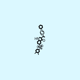 C=C(c1c[nH]c2ccc(S(=O)(=O)N(C)c3ccc(C)c(C)c3)cc2c1=O)N1CCN(c2ccccc2)CC1